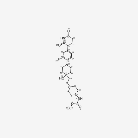 CC(C)(C)OC(=O)NN1CCC(CCC2(O)CCN(c3ccc(C4CCC(=O)NC4=O)cc3F)CC2)CC1